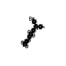 Cc1ccc(-c2cc(-c3ccc(Br)cc3)cc(-c3ccc(N4C(=O)c5ccc(Oc6ccc7c(c6)C(=O)N(C)C7=O)cc5C4=O)cc3)n2)cc1